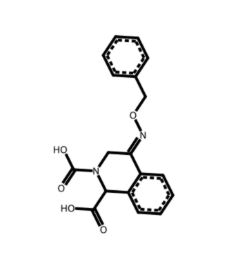 O=C(O)C1c2ccccc2C(=NOCc2ccccc2)CN1C(=O)O